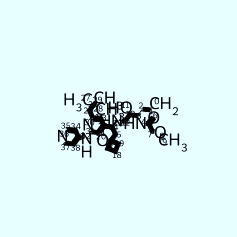 C=CC[C@H](NC(=O)COC)[C@H](O)CN[C@H]1CC2(CCC2)Oc2c1cc(CC(C)(C)C)nc2Nc1ccncc1